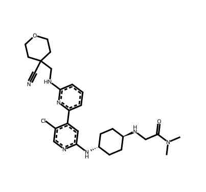 CN(C)C(=O)CN[C@H]1CC[C@H](Nc2cc(-c3cccc(NCC4(C#N)CCOCC4)n3)c(Cl)cn2)CC1